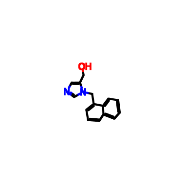 OCc1cncn1Cc1cccc2ccccc12